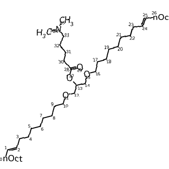 CCCCCCCCC=CCCCCCCCCOCC(COCCCCCCCCC=CCCCCCCCC)OC(=O)CCCCN(C)C